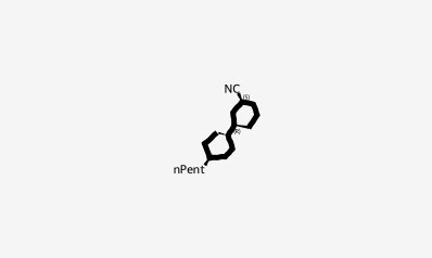 CCCCC[C@H]1CC[C@H]([C@@H]2CCC[C@H](C#N)C2)CC1